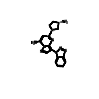 Nc1cc(N2CC[C@H](N)C2)nc2c(-n3nnc4ccccc43)cnn12